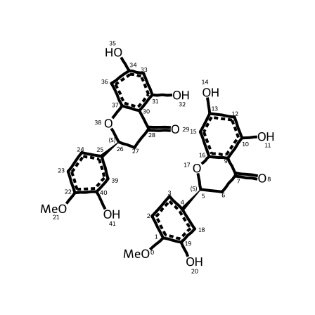 COc1ccc([C@@H]2CC(=O)c3c(O)cc(O)cc3O2)cc1O.COc1ccc([C@@H]2CC(=O)c3c(O)cc(O)cc3O2)cc1O